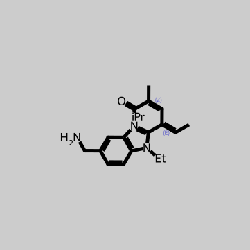 C/C=C(\C=C(\C)C(=O)C(C)C)c1nc2cc(CN)ccc2n1CC